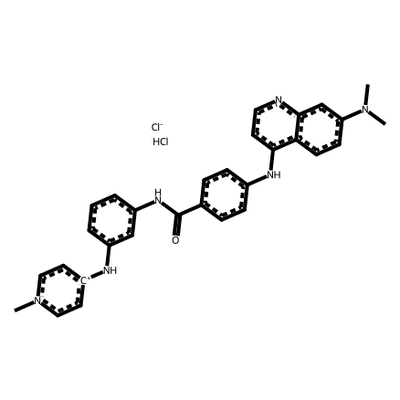 CN(C)c1ccc2c(Nc3ccc(C(=O)Nc4cccc(N[c+]5ccn(C)cc5)c4)cc3)ccnc2c1.Cl.[Cl-]